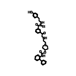 CCN(NCCc1ccc(O)cc1)C(=O)c1cccc(C(=O)CNCCN2CCC(OC(=O)Nc3ccccc3-c3ccccc3)CC2)c1